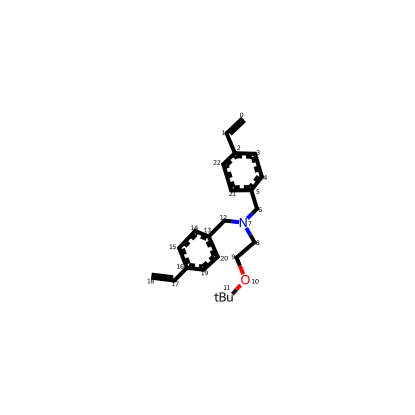 C=Cc1ccc(CN(CCOC(C)(C)C)Cc2ccc(C=C)cc2)cc1